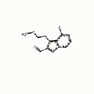 COCCn1c(C=O)cc2cccc(Cl)c21